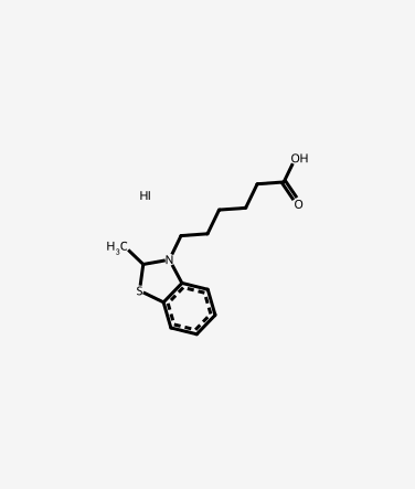 CC1Sc2ccccc2N1CCCCCC(=O)O.I